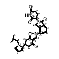 CC(C)Cn1cccc1C1CC(=O)C(=CNc2cccc3c2CN(C2CCC(=O)NC2=O)C3=O)C(=O)C1